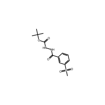 CC(C)(C)OC(=O)NNC(=O)c1cccc(S(C)(=O)=O)c1